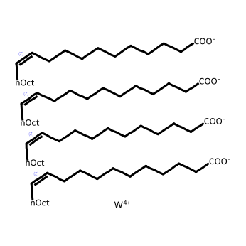 CCCCCCCC/C=C\CCCCCCCCCC(=O)[O-].CCCCCCCC/C=C\CCCCCCCCCC(=O)[O-].CCCCCCCC/C=C\CCCCCCCCCC(=O)[O-].CCCCCCCC/C=C\CCCCCCCCCC(=O)[O-].[W+4]